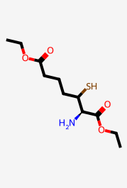 CCOC(=O)CCCC(S)[C@H](N)C(=O)OCC